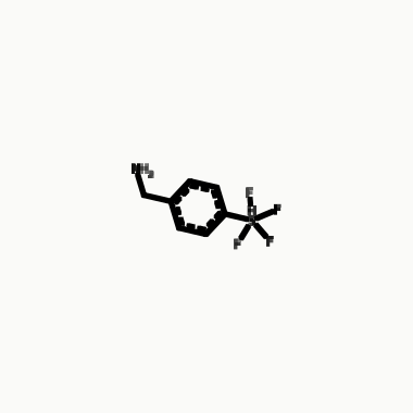 NCc1ccc([SH](F)(F)(F)F)cc1